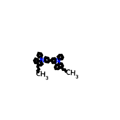 CCCCc1ccc(N(c2ccccc2)c2ccc(-c3ccc(N(c4ccccc4)c4ccc(CCCC)c5ccccc45)cc3)cc2)c2ccccc12